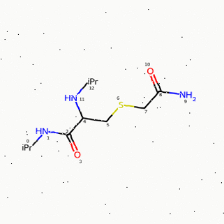 CC(C)NC(=O)C(CSCC(N)=O)NC(C)C